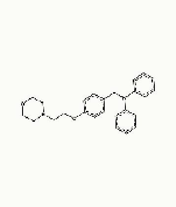 c1ccc(N(Cc2ccc(OCCN3CCOCC3)cc2)c2ccccc2)cc1